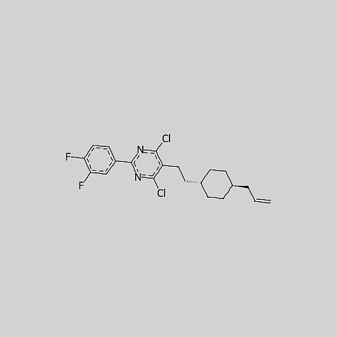 C=CC[C@H]1CC[C@H](CCc2c(Cl)nc(-c3ccc(F)c(F)c3)nc2Cl)CC1